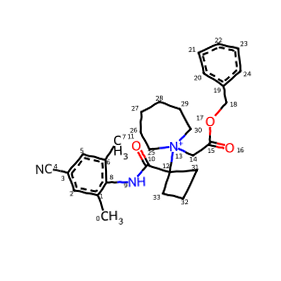 Cc1cc(C#N)cc(C)c1NC(=O)C1([N+]2(CC(=O)OCc3ccccc3)CCCCCC2)CCC1